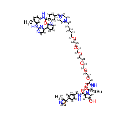 Cc1ccc(NC(=O)c2ccc(CN3CCN(CCCCCCOCCOCCOCCOCCOCCOCC(=O)N[C@H](C(=O)N4C[C@H](O)C[C@H]4C(=O)NCc4ccc(-c5scnc5C)cc4)C(C)(C)C)CC3)cc2)cc1Nc1nccc(-c2cccnc2)n1